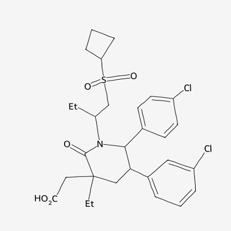 CCC(CS(=O)(=O)C1CCC1)N1C(=O)C(CC)(CC(=O)O)CC(c2cccc(Cl)c2)C1c1ccc(Cl)cc1